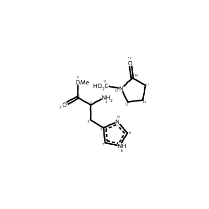 COC(=O)C(N)Cc1c[nH]cn1.O=C(O)N1CCCC1=O